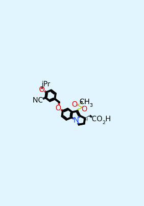 CC(C)Oc1ccc(COc2ccc3c(c2)c(S(C)(=O)=O)c2n3CC[C@H]2CC(=O)O)cc1C#N